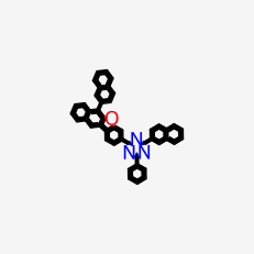 c1ccc(-c2nc(-c3ccc4ccccc4c3)nc(-c3ccc4c(c3)oc3c(-c5ccc6ccccc6c5)c5ccccc5cc34)n2)cc1